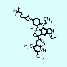 CCN(c1c(C)c(C(=O)NCc2c(C)cc(C)[nH]c2=O)cc2c1cnn2C)C1CCC(N2CC(OCC(F)(F)F)C2)CC1